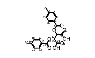 Cc1ccc(C(=O)OC(C(=O)O)[C@@H](OC(=O)c2ccc(C)cc2)C(=O)O)cc1